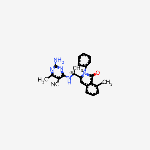 Cc1nc(N)nc(N[C@@H](C)c2cc3cccc(C)c3c(=O)n2-c2ccccc2)c1C#N